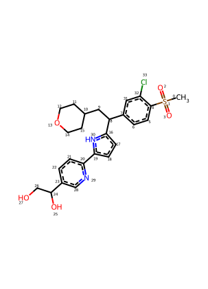 CS(=O)(=O)c1ccc(C(CC2CCOCC2)c2ccc(-c3ccc(C(O)CO)cn3)[nH]2)cc1Cl